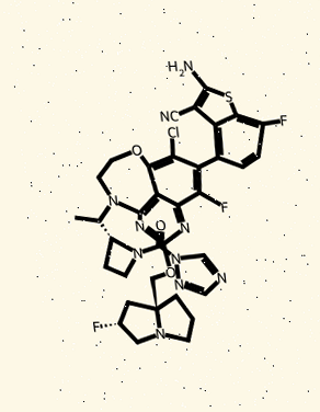 CC([C@H]1CCN1C(=O)n1cncn1)N1CCOc2c(Cl)c(-c3ccc(F)c4sc(N)c(C#N)c34)c(F)c3nc(OC[C@@]45CCCN4C[C@H](F)C5)nc1c23